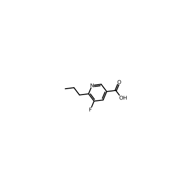 CCCc1ncc(C(=O)O)cc1F